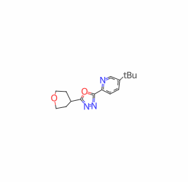 CC(C)(C)c1ccc(-c2nnc(C3CCOCC3)o2)nc1